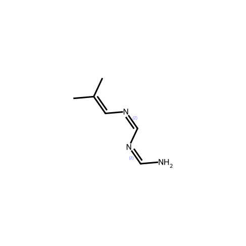 CC(C)=C/N=C\N=C/N